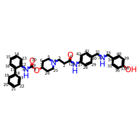 O=C(CCN1CCC(OC(=O)Nc2ccccc2-c2ccccc2)CC1)Nc1ccc(CNCc2ccc(O)cc2)cc1